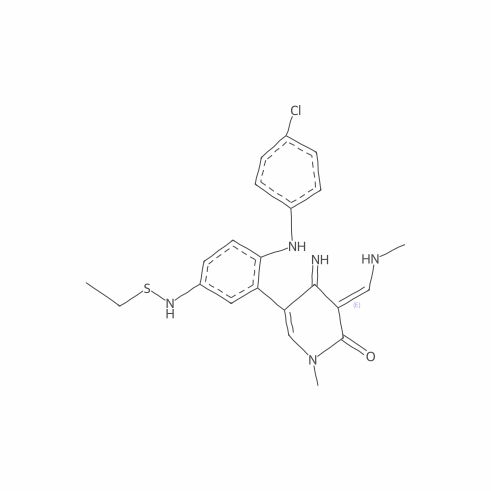 CCSNc1ccc(Nc2ccc(Cl)cc2)c(C2=CN(C)C(=O)/C(=C/NC)C2=N)c1